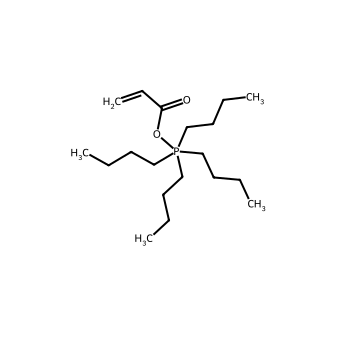 C=CC(=O)OP(CCCC)(CCCC)(CCCC)CCCC